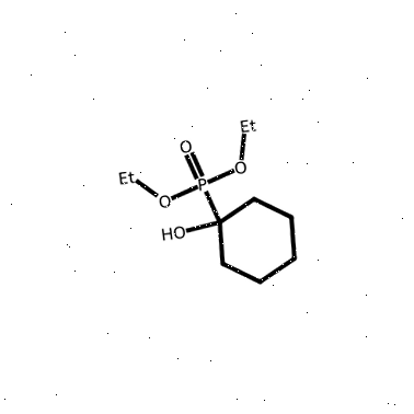 CCOP(=O)(OCC)C1(O)CCCCC1